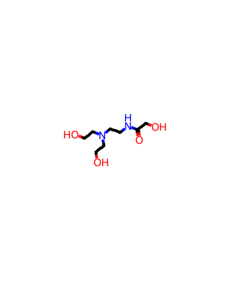 O=C(CO)NCCN(CCO)CCO